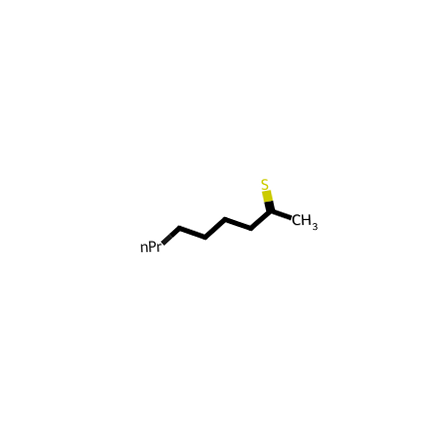 CCCCCCCC(C)=S